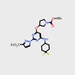 CCOC(=O)c1ccn(-c2nc(NC3CCC(F)(F)CC3)cc(OC3CCN(C(=O)OC(C)(C)C)C3)n2)n1